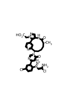 C[C@@H]1CCC[C@H](n2cnc(-c3cc(Cl)ccc3N(N)/C=C(\N)Cl)cc2=O)c2cc(ccn2)-c2c(cnn2CC(=O)O)NC1=O